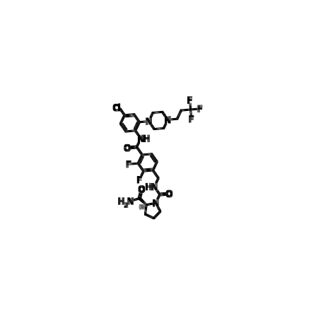 NC(=O)[C@@H]1CCCN1C(=O)NCc1ccc(C(=O)Nc2ccc(Cl)cc2N2CCN(CCC(F)(F)F)CC2)c(F)c1F